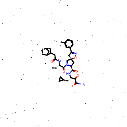 Cc1cccc(C2=NO[C@]3(C2)C[C@@H](C(=O)N[C@@H](CC2CC2)C(=O)C(N)=O)N(C(=O)[C@@H](NC(=O)CC2CC4CCC2C4)C(C)(C)C)C3)c1